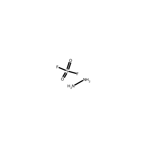 NN.O=S(=O)(F)F